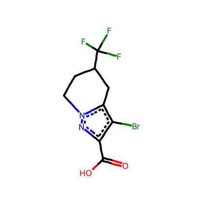 O=C(O)c1nn2c(c1Br)CC(C(F)(F)F)CC2